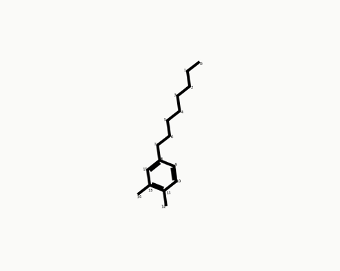 CCCCCCCCc1ccc(C)c(C)c1